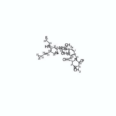 CN1CCN(Cc2ccc(N(C)C(O)Nc3cc(NCCF)c(C#CC4CC4)cn3)nc2C=O)C(=O)C1